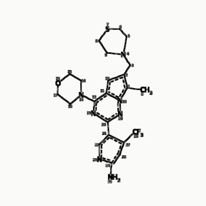 Cc1c(CN2CCSCC2)cc2c(N3CCOCC3)nc(-c3cnc(N)cc3C(F)(F)F)nn12